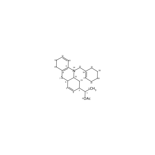 CC(=O)OC(C)C1C=CC2SC3=C(C=CCC3)N(CC3=CCCCC3)C2C1